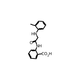 Cc1ccccc1NCC(=O)Nc1ccccc1C(=O)O